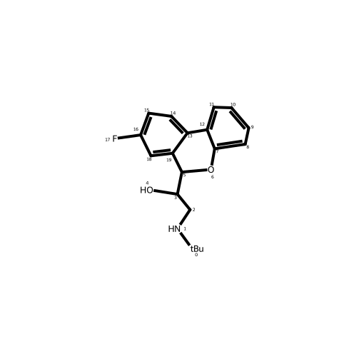 CC(C)(C)NCC(O)C1Oc2ccccc2-c2ccc(F)cc21